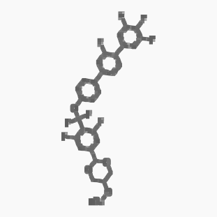 CCCCOC1COC(c2cc(F)c(C(F)(F)Oc3ccc(-c4ccc(-c5cc(F)c(F)c(F)c5)c(F)c4)cc3)c(F)c2)OC1